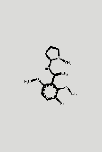 C=C(NC1CCCN1C)c1c(OC)ccc(Br)c1OC